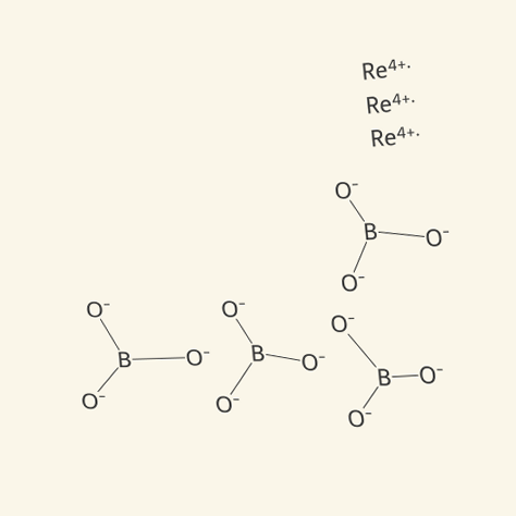 [O-]B([O-])[O-].[O-]B([O-])[O-].[O-]B([O-])[O-].[O-]B([O-])[O-].[Re+4].[Re+4].[Re+4]